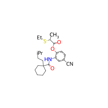 CCSC(C)C(=O)Oc1ccc(C#N)cc1NC(=O)C1(CCC(C)C)CCCCC1